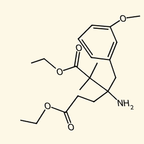 CCOC(=O)CCC(N)(Cc1cccc(OC)c1)C(C)(C)C(=O)OCC